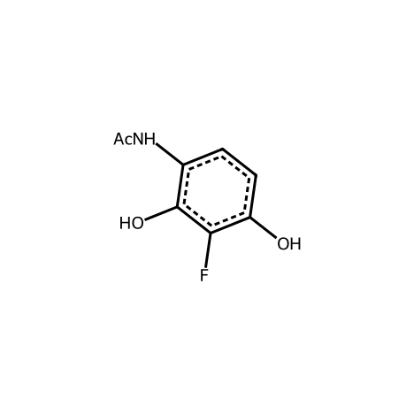 CC(=O)Nc1ccc(O)c(F)c1O